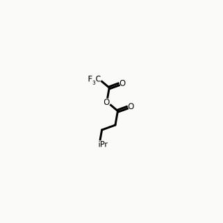 CC(C)CCC(=O)OC(=O)C(F)(F)F